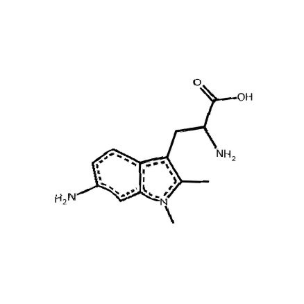 Cc1c(CC(N)C(=O)O)c2ccc(N)cc2n1C